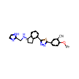 CC(C)Oc1ccc(-c2nnc(-c3cccc4c3CC[C@H]4NCc3ncc[nH]3)s2)cc1C#N